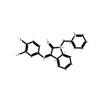 O=C1/C(=N\c2ccc(F)c(F)c2)c2ccccc2N1Cc1ccccn1